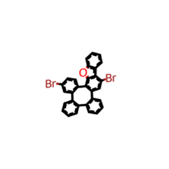 Brc1ccc2c(c1)-c1ccccc1-c1ccccc1-c1cc(Br)c3c(oc4ccccc43)c1-2